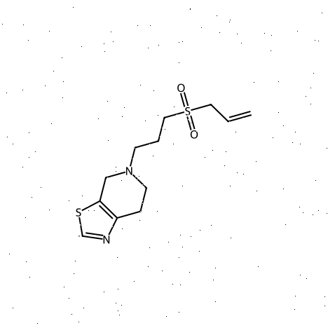 C=CCS(=O)(=O)CCCN1CCc2n[c]sc2C1